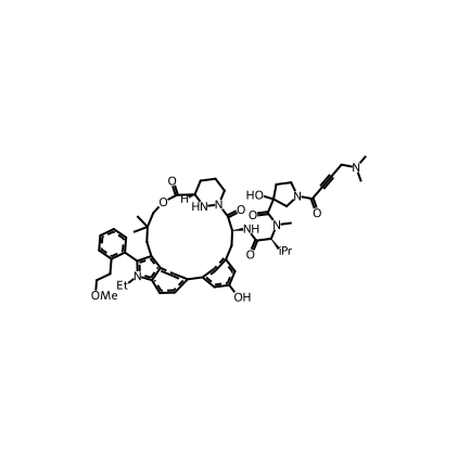 CCn1c(-c2ccccc2CCOC)c2c3cc(ccc31)-c1cc(O)cc(c1)C[C@H](NC(=O)[C@H](C(C)C)N(C)C(=O)C1(O)CCN(C(=O)C#CCN(C)C)C1)C(=O)N1CCC[C@H](N1)C(=O)OCC(C)(C)C2